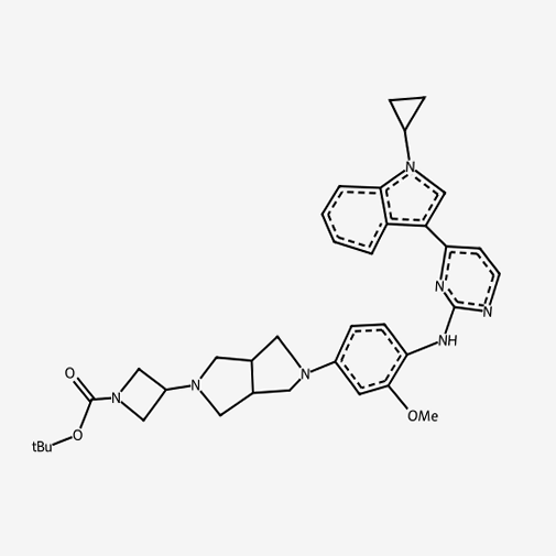 COc1cc(N2CC3CN(C4CN(C(=O)OC(C)(C)C)C4)CC3C2)ccc1Nc1nccc(-c2cn(C3CC3)c3ccccc23)n1